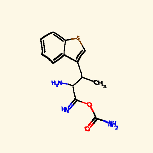 CC(c1csc2ccccc12)C(N)C(=N)OC(N)=O